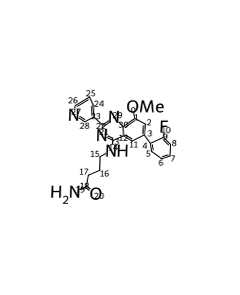 COc1cc(-c2ccccc2F)cc2c(NCCCC(N)=O)nc(-c3cccnc3)nc12